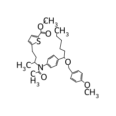 CCCCCC(OCc1ccc(OC)cc1)c1ccc(N(C(C)=O)C(C)CCc2ccc(C(=O)OC)s2)cc1